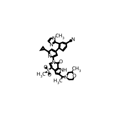 CC(c1cc2c(S(C)(=O)=O)cn(-c3cc(-c4ccc(C#N)cc4-c4nccn4C)cc(C4CC4)n3)c(=O)c2[nH]1)N1CCO[C@H](C)C1